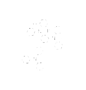 c1ccc(N(c2ccccc2)c2ccc(-c3cc4c5c(c3)N3c6ccccc6Oc6cccc(c63)B5c3cccc5c3N4c3ccccc3O5)cc2)cc1